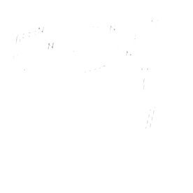 C=CCON1C(=O)N2CC(n3cccn3)=CC1C2